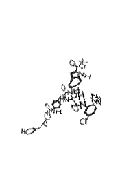 CC(C)(C)OC(=O)c1cc2cc(NC(=O)[C@H](Cc3ccc(NC(=O)N4CCC(OCCO)CC4)cc3)NC(=O)C(=O)Nc3cc(Cl)ccc3-n3cnnn3)ccc2[nH]1